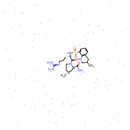 CC1CNc2c(cccc2S(=O)(=O)N[C@@H](CCCN=C(N)N)C(=O)N2CC[C@@H](C)C[C@@H]2C(N)=O)C1